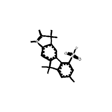 CC1=[N+](C)c2cc3c(cc2C1(C)C)-c1c(cc(C)cc1S(=O)(=O)[O-])C3(C)C